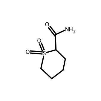 NC(=O)C1C[CH]CCS1(=O)=O